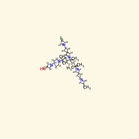 CC1CN(C2CC3(C2)CN(C(C)(C)CCC(C)(CCC(C)(C)N2CCC(N4CC(O)C4)CC2)N2CC4(CC(N5CC(F)C5)C4)C2)C3)C1